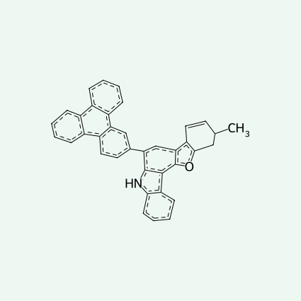 CC1C=Cc2c(oc3c2cc(-c2ccc4c5ccccc5c5ccccc5c4c2)c2[nH]c4ccccc4c23)C1